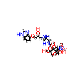 CN1CNc2cccc(OCC(O)CNC(C)(C)CNC(=O)O[C@@]34OC[C@](O)([N+](=O)[O-])[C@H]3OC[C@@H]4O)c21